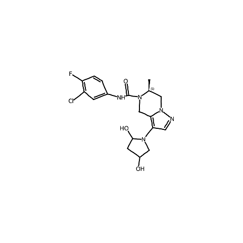 C[C@H]1Cn2ncc(N3CC(O)CC3O)c2CN1C(=O)Nc1ccc(F)c(Cl)c1